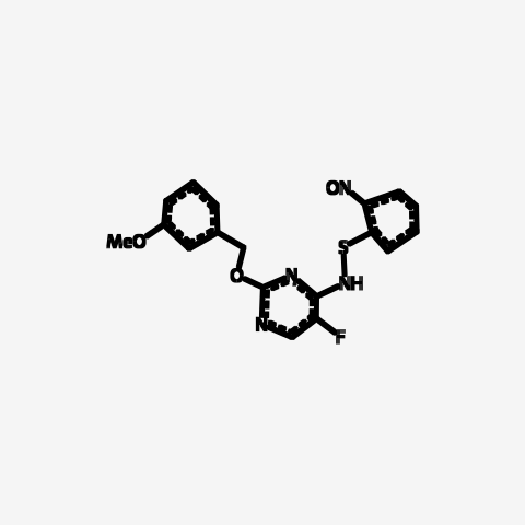 COc1cccc(COc2ncc(F)c(NSc3ccccc3N=O)n2)c1